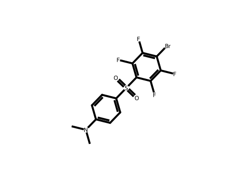 CN(C)c1ccc(S(=O)(=O)c2c(F)c(F)c(Br)c(F)c2F)cc1